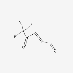 CC(F)(F)C(=O)/C=C/C=O